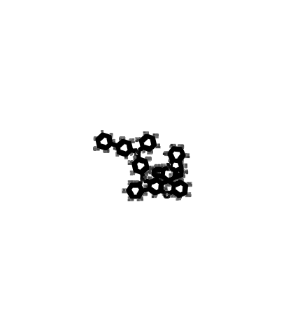 c1ccc(-c2ccc(N(c3ccccc3)c3ccc(-n4c5ccccc5c5cc6c(cc54)C4(c5ccccc5O6)c5ccccc5-n5c6ccccc6c6cccc4c65)cc3)cc2)cc1